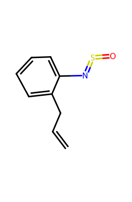 C=CCc1ccccc1N=S=O